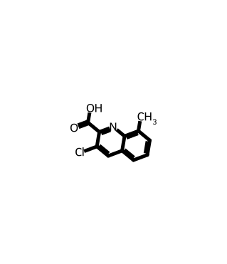 Cc1cccc2cc(Cl)c(C(=O)O)nc12